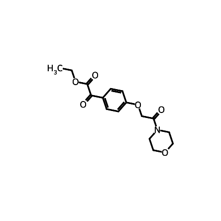 CCOC(=O)C(=O)c1ccc(OCC(=O)N2CCOCC2)cc1